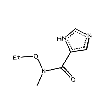 CCON(C)C(=O)c1cnc[nH]1